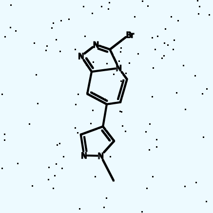 Cn1cc(-c2ccn3c(Br)nnc3c2)cn1